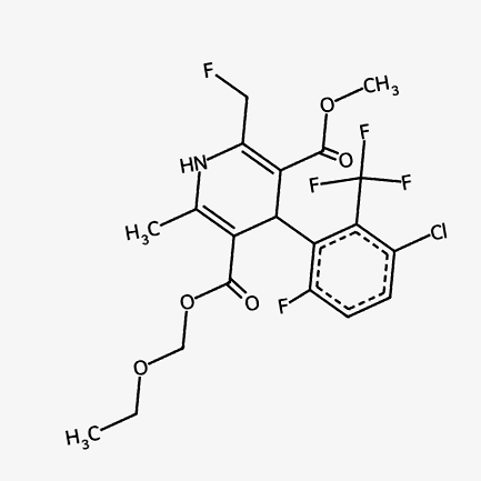 CCOCOC(=O)C1=C(C)NC(CF)=C(C(=O)OC)C1c1c(F)ccc(Cl)c1C(F)(F)F